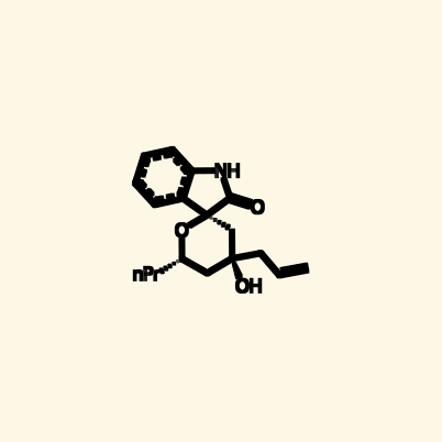 C=CC[C@]1(O)C[C@H](CCC)O[C@]2(C1)C(=O)Nc1ccccc12